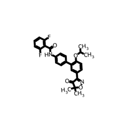 CC(C)Oc1ccc(C2=NOC(C)(C)C2=O)cc1-c1ccc(NC(=O)c2c(F)cccc2F)cc1